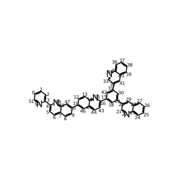 c1ccc(-c2ccc3ccc(-c4ccc5nc(-c6cc(-c7cnc8ccccc8c7)cc(-c7cnc8ccccc8c7)c6)ccc5c4)cc3n2)nc1